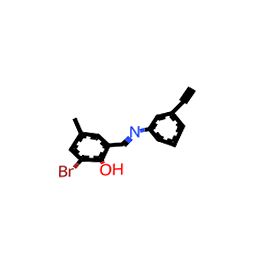 C#Cc1cccc(/N=C/c2cc(C)cc(Br)c2O)c1